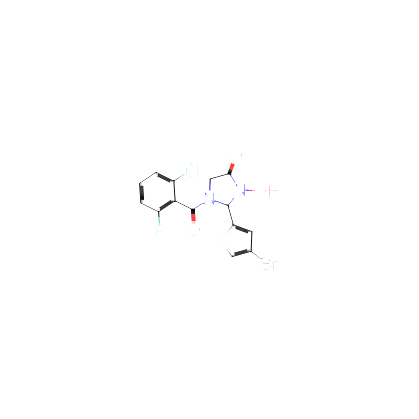 O=C1CN(C(=O)c2c(F)cccc2Cl)C(c2cc(Br)cs2)N1O